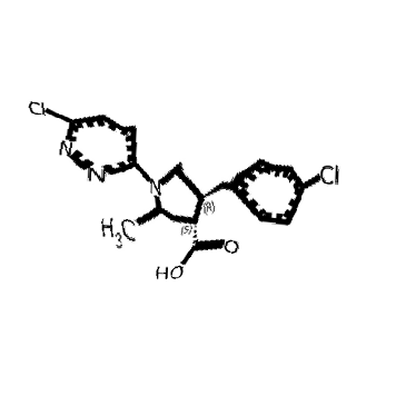 CC1[C@@H](C(=O)O)[C@H](c2ccc(Cl)cc2)CN1c1ccc(Cl)nn1